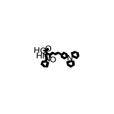 O=C(O)C1NN(c2ccccc2)C(=O)/C1=C\C=C\c1ccc(N(c2ccccc2)c2ccccc2)cc1